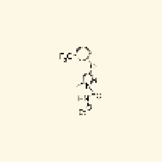 CCONC(=O)n1nc(Oc2cccc(C(F)(F)F)c2)cc1C